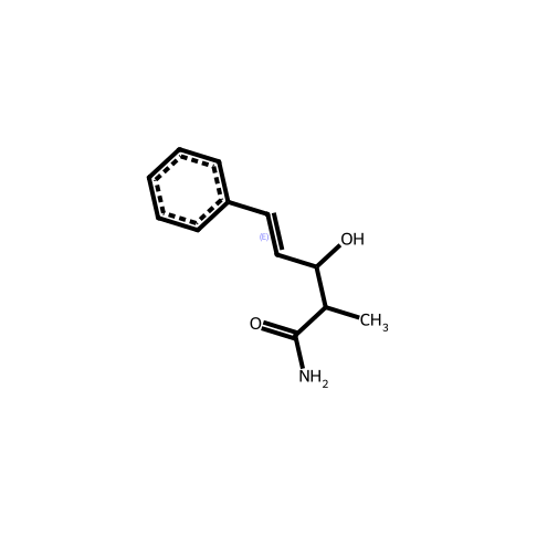 CC(C(N)=O)C(O)/C=C/c1ccccc1